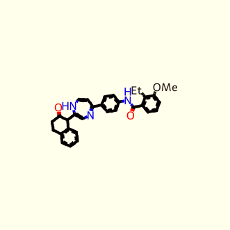 CCc1c(OC)cccc1C(=O)Nc1ccc(C2=NC=C(C3C(=O)CCc4ccccc43)NC=C2)cc1